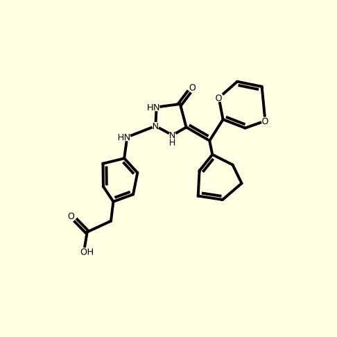 O=C(O)Cc1ccc(NN2NC(=O)C(=C(C3=CC=CCC3)C3=COC=CO3)N2)cc1